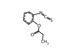 CCC(=O)Oc1ccccc1N=C=S